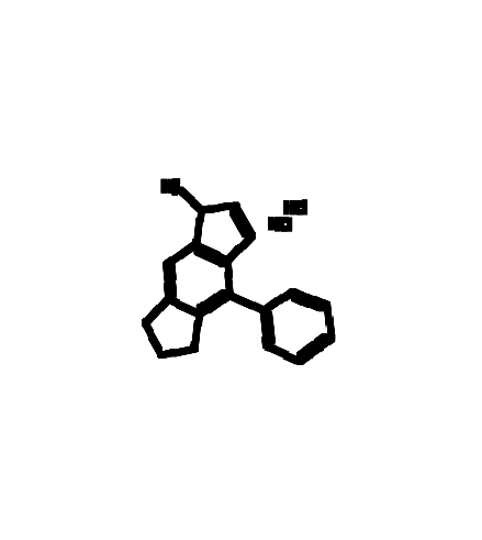 Cl.Cl.[Hf][CH]1C=Cc2c1cc1c(c2-c2ccccc2)CCC1